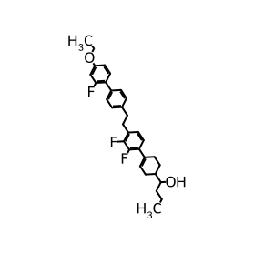 CCCC(O)C1CC=C(c2ccc(CCc3ccc(-c4ccc(OCC)cc4F)cc3)c(F)c2F)CC1